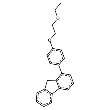 CCOCCOc1ccc(-c2cccc3c2Cc2ccccc2-3)cc1